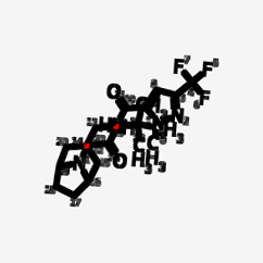 Cn1nc(C(F)(F)F)cc1C(=O)NCC1CC2CCC(C1)N2CC(=O)NC(C)(C)C